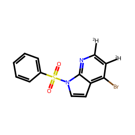 [2H]c1nc2c(ccn2S(=O)(=O)c2ccccc2)c(Br)c1[2H]